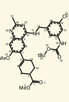 COC(=O)C1CC=C(c2cc3c(NCc4cc(NC(=O)OC(C)(C)C)cc(C(F)(F)F)c4)nc(C)nc3cc2OC)CC1